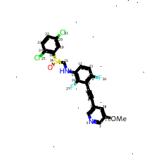 COc1cncc(C#Cc2c(F)ccc(NC[S+]([O-])c3cc(Cl)ccc3Cl)c2F)c1